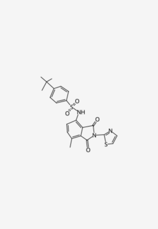 Cc1ccc(NS(=O)(=O)c2ccc(C(C)(C)C)cc2)c2c1C(=O)N(c1nccs1)C2=O